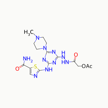 CC(=O)OCC(=O)NNc1nc(Nc2ncc(C(N)=O)s2)nc(N2CCN(C)CC2)n1